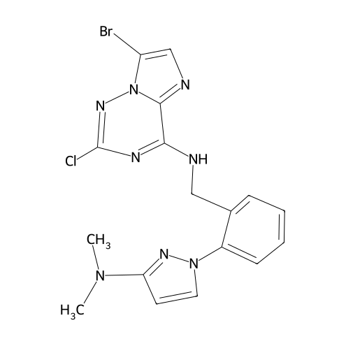 CN(C)c1ccn(-c2ccccc2CNc2nc(Cl)nn3c(Br)cnc23)n1